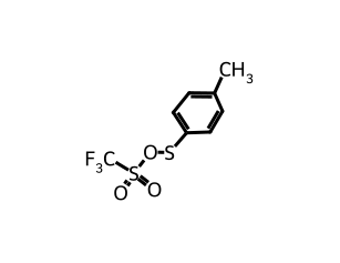 Cc1ccc(SOS(=O)(=O)C(F)(F)F)cc1